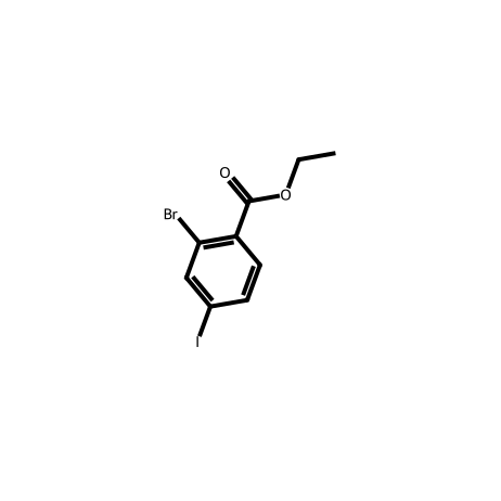 CCOC(=O)c1ccc(I)cc1Br